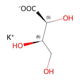 O=C([O-])[C@@H](O)[C@H](O)CO.[K+]